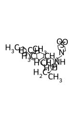 C=C(C)[C@@H]1CC[C@]2(NCCN3CCS(=O)(=O)CC3)CC[C@]3(C)[C@H](CC[C@@H]4[C@@]5(C)CC=C(c6ccc(C)cc6)C(C)(C)[C@@H]5CC[C@]43C)[C@@H]12